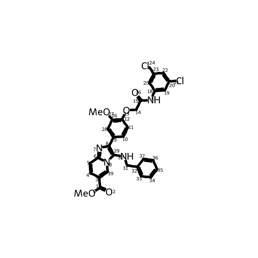 COC(=O)c1ccc2nc(-c3ccc(OCC(=O)Nc4cc(Cl)cc(Cl)c4)c(OC)c3)c(NCc3ccccc3)n2c1